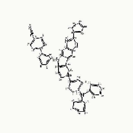 N#Cc1ccc(-c2cccc(-n3c4ccc(-c5ccc(N(c6ccccc6)c6ccccc6)cc5)cc4c4cc5oc(-c6ccccc6)nc5cc43)c2)cc1